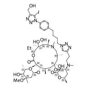 CC[C@H]1OC(=O)[C@H](C)[C@@H](O[C@H]2C[C@@](C)(OC)[C@@H](O)[C@H](C)O2)[C@H](C)[C@@H](O[C@@H]2O[C@H](C)C[C@H](N(C)CCc3cn(CCCCc4ccc(-n5nnc(CO)c5I)cc4)nn3)[C@H]2O)[C@](C)(O)C[C@@H](C)CN(C)[C@H](C)[C@@H](O)[C@]1(C)O